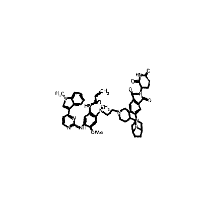 C=CC(=O)Nc1cc(Nc2nccc(-c3cn(C)c4ccccc34)n2)c(OC)cc1N(C)CCN1CCC(CN2C3CCC2CN(c2ccc4c(c2)C(=O)N(C2CCC(=O)NC2=O)C4=O)C3)CC1